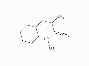 C=C(PC)C(C)CC1CCCCC1